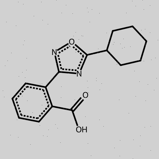 O=C(O)c1ccccc1-c1noc(C2CCCCC2)n1